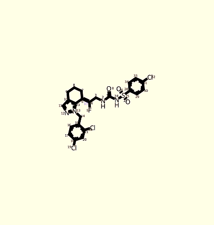 O=C(NC/C(F)=C1\CCCc2cnn(Cc3ccc(Cl)cc3Cl)c21)NS(=O)(=O)c1ccc(Cl)cc1